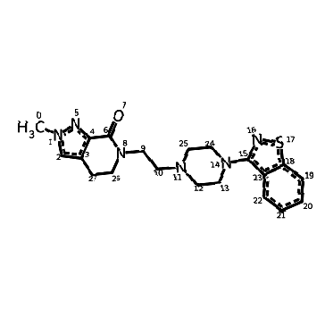 Cn1cc2c(n1)C(=O)N(CCN1CCN(c3nsc4ccccc34)CC1)CC2